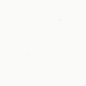 COC(=O)Cc1ccc(OCC2CCN(C(=O)[C@H](CC(C)C)N3CCN(C(C)=O)[C@@H](CC(C)C)C3=O)CC2)cc1